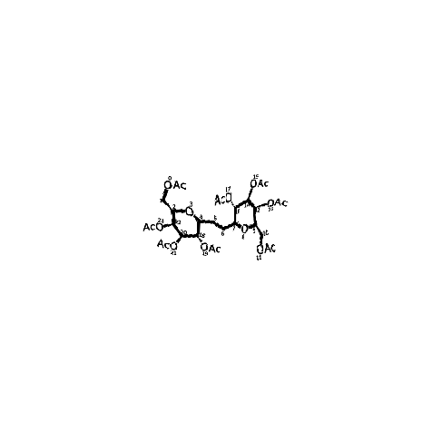 CC(=O)OC[C@H]1O[C](CC[C]2O[C@H](COC(C)=O)[C@H](OC(C)=O)[C@H](OC(C)=O)[C@H]2OC(C)=O)[C@H](OC(C)=O)[C@@H](OC(C)=O)[C@H]1OC(C)=O